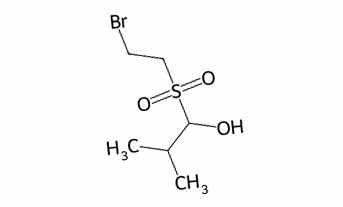 CC(C)C(O)S(=O)(=O)CCBr